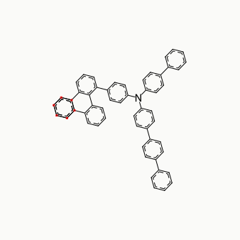 c1ccc(-c2ccc(-c3ccc(N(c4ccc(-c5ccccc5)cc4)c4ccc(-c5cccc(-c6ccccc6)c5-c5ccccc5-c5ccccc5)cc4)cc3)cc2)cc1